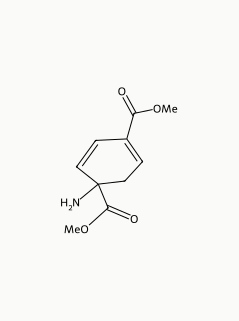 COC(=O)C1=CCC(N)(C(=O)OC)C=C1